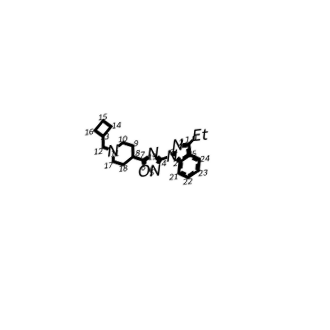 CCc1nn(-c2noc(C3CCN(CC4CCC4)CC3)n2)c2ccccc12